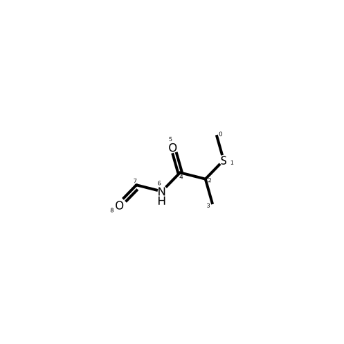 CSC(C)C(=O)NC=O